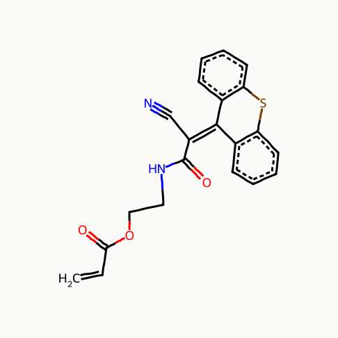 C=CC(=O)OCCNC(=O)C(C#N)=C1c2ccccc2Sc2ccccc21